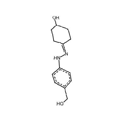 OCc1ccc(NN=C2CCC(O)CC2)cc1